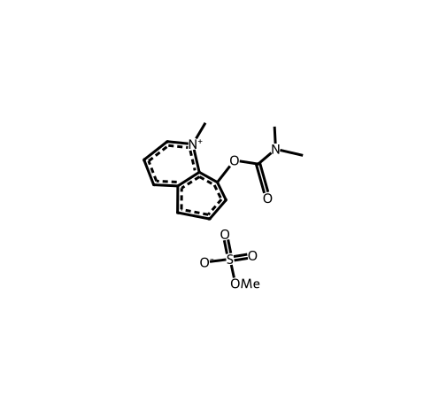 CN(C)C(=O)Oc1cccc2ccc[n+](C)c12.COS(=O)(=O)[O-]